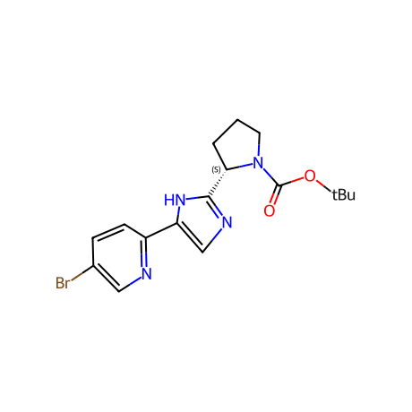 CC(C)(C)OC(=O)N1CCC[C@H]1c1ncc(-c2ccc(Br)cn2)[nH]1